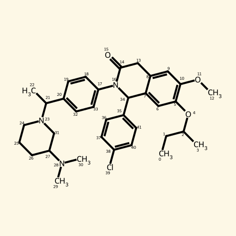 CCC(C)Oc1cc2c(cc1OC)CC(=O)N(c1ccc(C(C)N3CCCC(N(C)C)C3)cc1)C2c1ccc(Cl)cc1